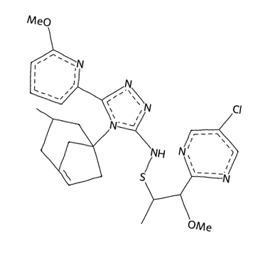 COc1cccc(-c2nnc(NSC(C)C(OC)c3ncc(Cl)cn3)n2C23CC=C(CC(C)C2)C3)n1